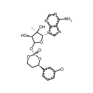 C[C@@]1(O)[C@H](O)C(O[P@@]2(=O)OCC[C@H](c3cccc(Cl)c3)O2)O[C@H]1n1cnc2c(N)ncnc21